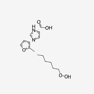 CCCCCCOO.Cc1ccco1.O=CO.c1c[nH]cn1